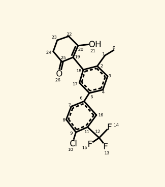 CCc1ccc(-c2ccc(Cl)c(C(F)(F)F)c2)cc1C1=C(O)CCCC1=O